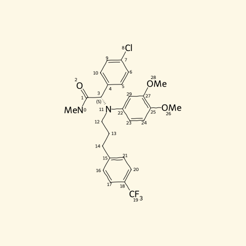 CNC(=O)[C@H](c1ccc(Cl)cc1)N(CCCc1ccc(C(F)(F)F)cc1)c1ccc(OC)c(OC)c1